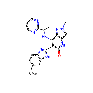 COc1ccc2nc(-c3c(NC(C)c4ncccn4)c4nn(C)cc4[nH]c3=O)[nH]c2c1